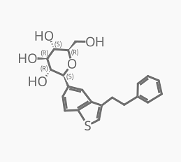 OC[C@H]1O[C@@H](c2ccc3scc(CCc4ccccc4)c3c2)[C@H](O)[C@@H](O)[C@@H]1O